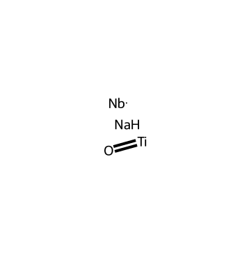 [NaH].[Nb].[O]=[Ti]